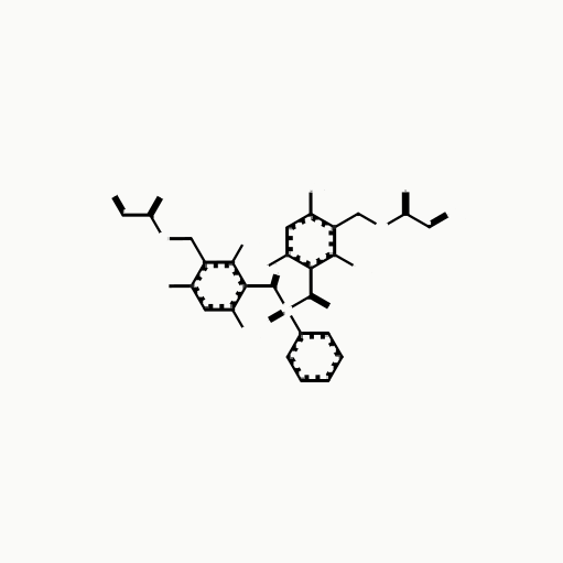 C=CC(=O)OCc1c(C)cc(C)c(C(=O)P(=O)(C(=O)c2c(C)cc(C)c(COC(=O)C=C)c2C)c2ccccc2)c1C